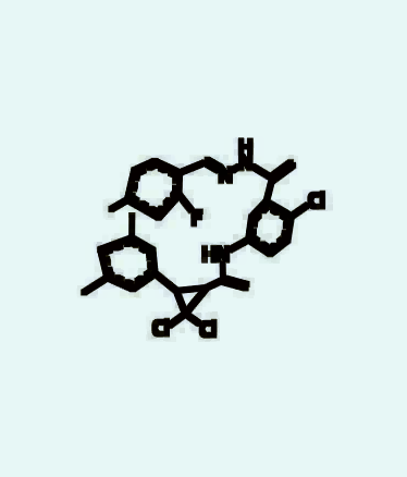 C=C(N/N=C/c1ccc(C)cc1F)c1cc(NC(=C)C2C(c3cc(C)cc(C)c3)C2(Cl)Cl)ccc1Cl